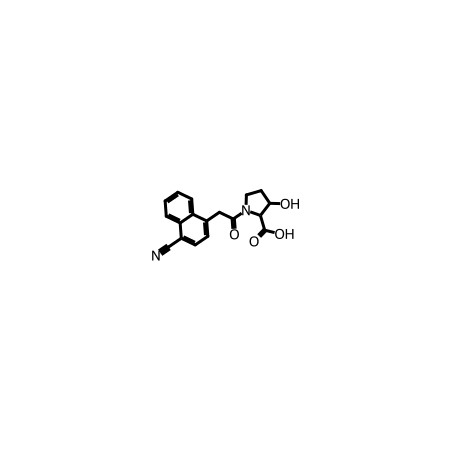 N#Cc1ccc(CC(=O)N2CCC(O)C2C(=O)O)c2ccccc12